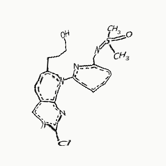 CS(C)(=O)=Nc1cccc(-n2c(CCO)cc3cnc(Cl)nc32)n1